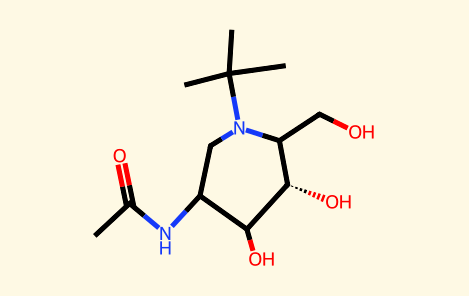 CC(=O)NC1CN(C(C)(C)C)C(CO)[C@H](O)C1O